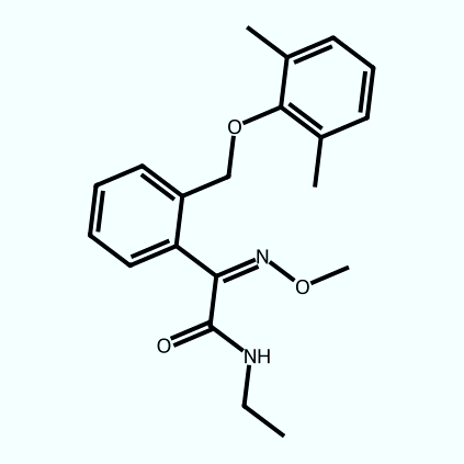 CCNC(=O)C(=NOC)c1ccccc1COc1c(C)cccc1C